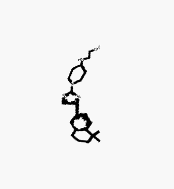 CC1(C)CCCc2cc(-c3csc(N4CCC(NCCO)CC4)n3)ccc21